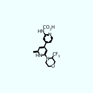 C=C1C=C(c2ccnc(NC(=O)O)c2)C=C(N2CCOCC2C(F)(F)F)N1